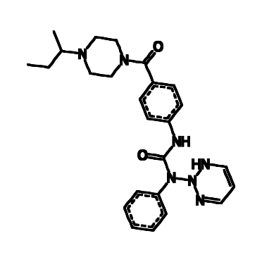 CCC(C)N1CCN(C(=O)c2ccc(NC(=O)N(c3ccccc3)N3N=CC=CN3)cc2)CC1